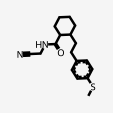 CSc1ccc(CCC2CCCCC2C(=O)NCC#N)cc1